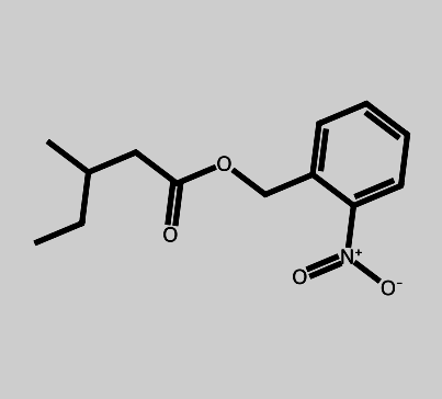 CCC(C)CC(=O)OCc1ccccc1[N+](=O)[O-]